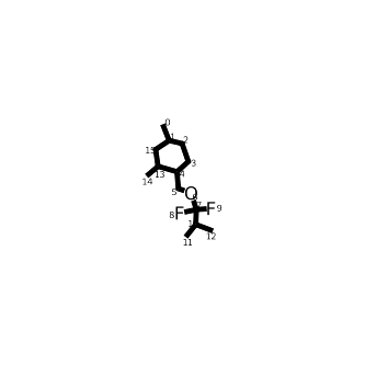 CC1CCC(COC(F)(F)C(C)C)C(C)C1